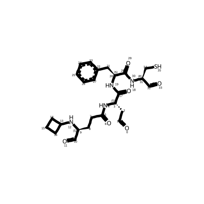 O=CC[C@H](NC(=O)CC[C@@H](C=O)NC1CCC1)C(=O)N[C@@H](Cc1ccccc1)C(=O)N[C@H](C=O)CS